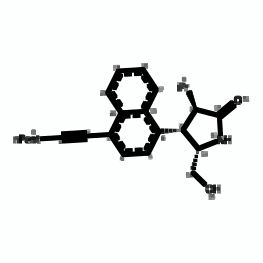 CCCCCC#Cc1ccc([C@@H]2[C@@H](C(C)C)C(=O)N[C@@H]2CO)c2ccccc12